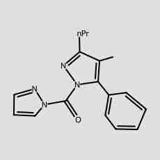 CCCc1nn(C(=O)n2cccn2)c(-c2ccccc2)c1C